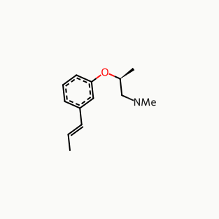 C/C=C/c1cccc(O[C@@H](C)CNC)c1